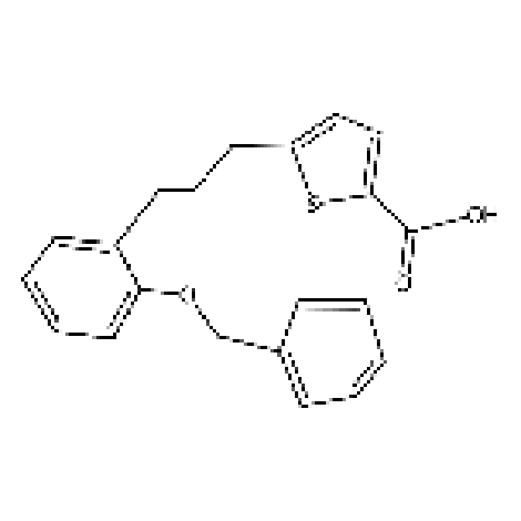 O=C(O)c1ccc(CCCc2ccccc2OCc2ccccc2)s1